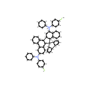 Fc1ccc(N(c2ccccc2)c2ccc3c4c(c5ccccc5c3c2)-c2cc(N(c3ccccc3)c3ccc(F)cc3)c3ccccc3c2C42c3ccccc3-c3ccccc32)cc1